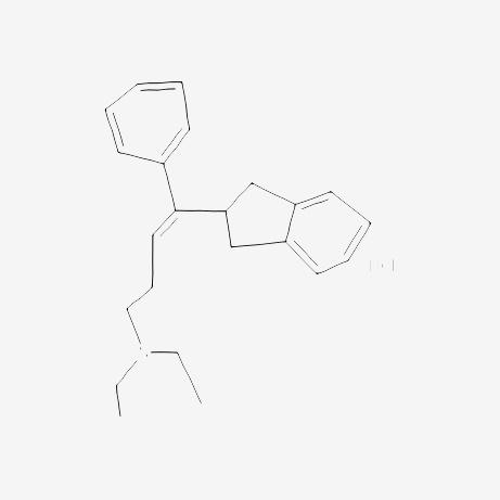 CCN(CC)CC/C=C(/c1ccccc1)C1Cc2ccccc2C1.Cl